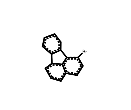 Brc1ccc2cccc3c2c1-c1ccccc1-3